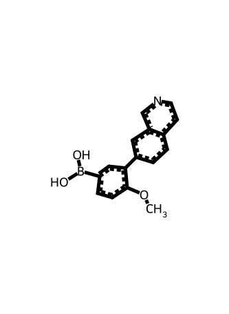 COc1ccc(B(O)O)cc1-c1ccc2ccncc2c1